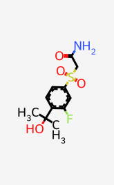 CC(C)(O)c1ccc(S(=O)(=O)CC(N)=O)cc1F